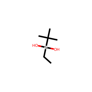 CC[Si](O)(O)C(C)(C)C